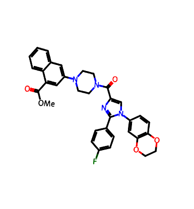 COC(=O)c1cc(N2CCN(C(=O)c3cn(-c4ccc5c(c4)OCCO5)c(-c4ccc(F)cc4)n3)CC2)cc2ccccc12